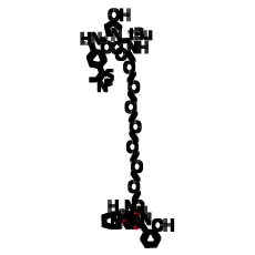 Cc1ncsc1-c1ccc([C@H](C)NC(=O)[C@@H]2C[C@@H](O)CN2C(=O)[C@@H](NC(=O)COCCOCCOCCOCCOCCOCCOCCOc2cc(N3C4CCC3CN(c3cc(-c5ccccc5O)nnc3N)C4)ccn2)C(C)(C)C)cc1